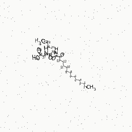 CCCCCCCCCCCCCCC(=O)C(=O)N[C@@H](CCCC)C(=O)NCC(=O)O